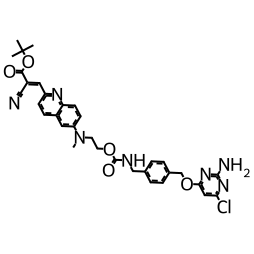 CN(CCOC(=O)NCc1ccc(COc2cc(Cl)nc(N)n2)cc1)c1ccc2nc(/C=C(\C#N)C(=O)OC(C)(C)C)ccc2c1